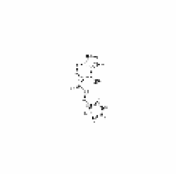 CC(C)C1C2=C(CCN1C(=O)OCc1cnccn1)NCN2